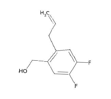 C=CCc1cc(F)c(F)cc1CO